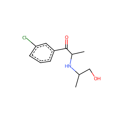 CC(CO)NC(C)C(=O)c1cccc(Cl)c1